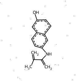 C=C(C)C(=C)Nc1ccc2cc(O)ccc2c1